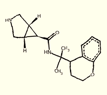 CC(C)(NC(=O)[C@H]1[C@@H]2CNC[C@@H]21)C1CCOc2ccccc21